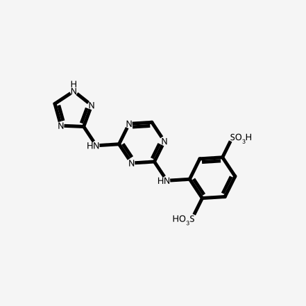 O=S(=O)(O)c1ccc(S(=O)(=O)O)c(Nc2ncnc(Nc3nc[nH]n3)n2)c1